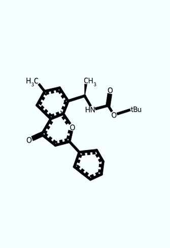 Cc1cc([C@@H](C)NC(=O)OC(C)(C)C)c2oc(-c3ccccc3)cc(=O)c2c1